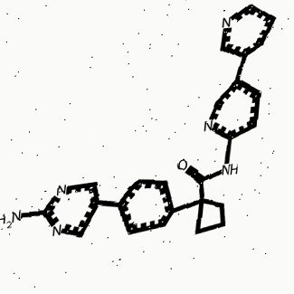 Nc1ncc(-c2ccc(C3(C(=O)Nc4ccc(-c5cccnc5)cn4)CCC3)cc2)cn1